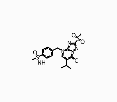 CC(C)c1cn(Cc2ccc(S(C)(=N)=O)cc2)c2nc(S(C)(=O)=O)nn2c1=O